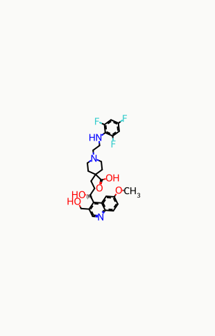 COc1ccc2ncc(CO)c([C@H](O)CCC3(C(=O)O)CCN(CCNc4c(F)cc(F)cc4F)CC3)c2c1